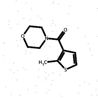 Cc1sccc1C(=O)N1CCOCC1